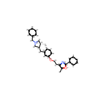 Cc1oc(-c2ccccc2)nc1CCOc1cccc(C[C@H]2CN(Cc3ccccc3)C[C@@H]2C)c1